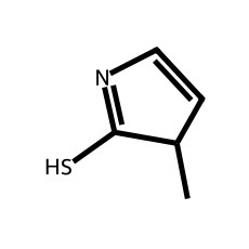 CC1C=CN=C1S